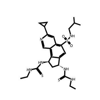 CCNC(=S)N[C@@H]1C[C@@H](NC(=S)NCC)c2c1cc(S(=O)(=O)NCC(C)C)c1cc(C3CC3)ncc21